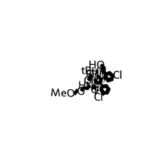 COCCOCCNC(=O)[C@H]1[C@H](c2cccc(Cl)c2F)[C@H](c2ccc(Cl)cc2NCO)[C@@H](CC(C)(C)C)N1C(=O)OC